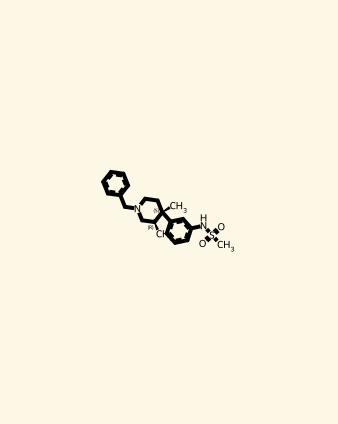 C[C@H]1CN(Cc2ccccc2)CC[C@]1(C)c1cccc(NS(C)(=O)=O)c1